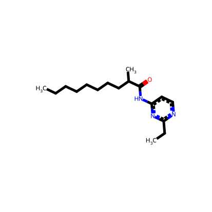 CCCCCCCCC(C)C(=O)Nc1ccnc(CC)n1